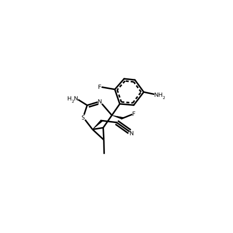 CC1C2[C@@]1(CC#N)SC(N)=N[C@]2(CF)c1cc(N)ccc1F